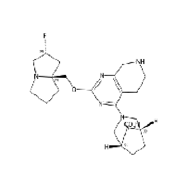 O=C(O)N1[C@@H]2CC[C@H]1CN(c1nc(OC[C@@]34CCCN3C[C@H](F)C4)nc3c1CCNC3)C2